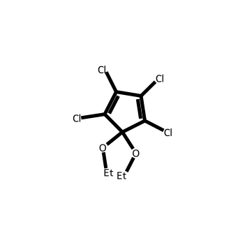 CCOC1(OCC)C(Cl)=C(Cl)C(Cl)=C1Cl